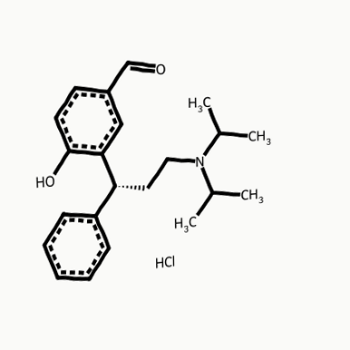 CC(C)N(CC[C@H](c1ccccc1)c1cc(C=O)ccc1O)C(C)C.Cl